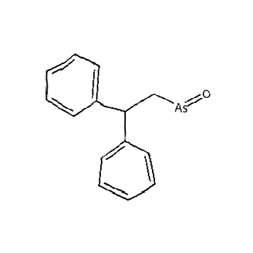 O=[As]CC(c1ccccc1)c1ccccc1